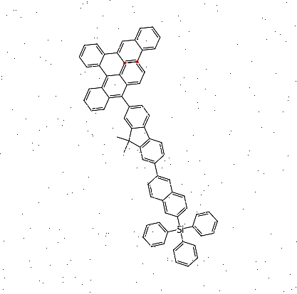 CC1(C)c2cc(-c3ccc4cc([Si](c5ccccc5)(c5ccccc5)c5ccccc5)ccc4c3)ccc2-c2ccc(-c3c4ccccc4c(-c4ccccc4-c4ccc5ccccc5c4)c4ccccc34)cc21